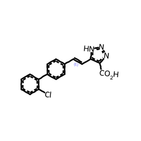 O=C(O)c1nn[nH]c1/C=C/c1ccc(-c2ccccc2Cl)cc1